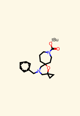 CC(C)(C)OC(=O)N1CCCC2(CC1)CN(Cc1ccccc1)CC1(CC1)O2